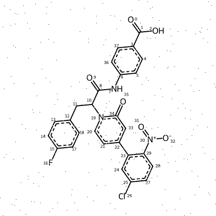 O=C(O)c1ccc(NC(=O)C(Cc2ccc(F)cc2)n2ccc(-c3cc(Cl)ccc3[N+](=O)[O-])cc2=O)cc1